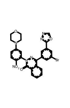 O=c1c2ccccc2c(-c2cc(Br)cc(-c3nnco3)c2)nn1-c1cc(N2CCOCC2)ccc1[N+](=O)[O-]